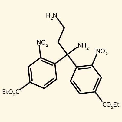 CCOC(=O)c1ccc(C(N)(CCN)c2ccc(C(=O)OCC)cc2[N+](=O)[O-])c([N+](=O)[O-])c1